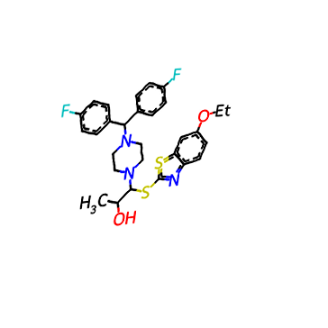 CCOc1ccc2nc(SC(C(C)O)N3CCN(C(c4ccc(F)cc4)c4ccc(F)cc4)CC3)sc2c1